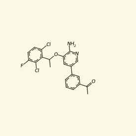 CC(=O)c1cccc(-c2cnc(N)c(OC(C)c3c(Cl)ccc(F)c3Cl)c2)c1